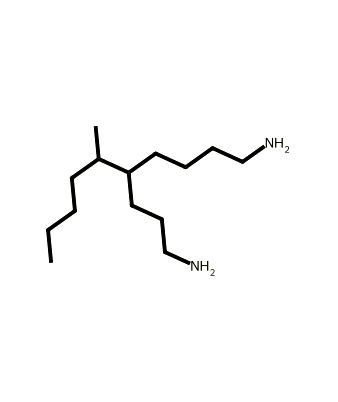 CCCCC(C)C(CCCN)CCCCN